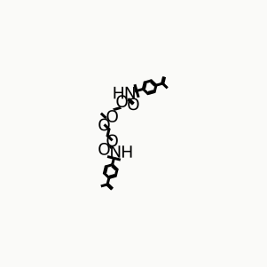 C=C(C)c1ccc(C(C)(C)NC(=O)OCCOC(C)OCCOC(=O)NC(C)(C)c2ccc(C(=C)C)cc2)cc1